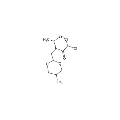 CC1COC(CN(C(=O)C(Cl)Cl)C(C)C)OC1